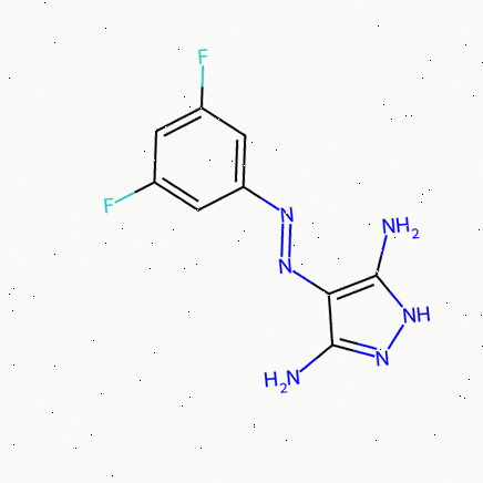 Nc1n[nH]c(N)c1N=Nc1cc(F)cc(F)c1